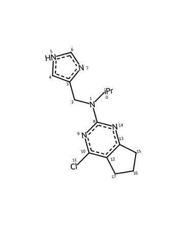 CC(C)N(Cc1c[nH]cn1)c1nc(Cl)c2c(n1)CCC2